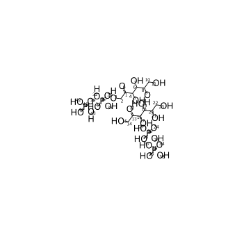 O=C(CO)C(O)C(O)C(O)CO.O=C(CO)C(O)C(O)C(O)CO.O=P(O)(O)O.O=P(O)(O)O.O=P(O)(O)O.O=P(O)(O)O